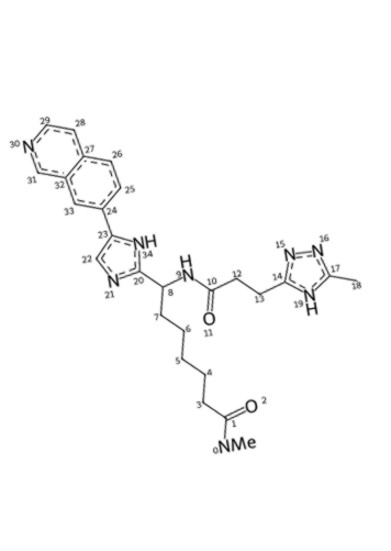 CNC(=O)CCCCCC(NC(=O)CCc1nnc(C)[nH]1)c1ncc(-c2ccc3ccncc3c2)[nH]1